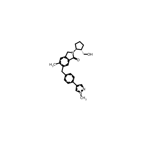 Cc1cc2c(cc1Cc1ccc(-c3cnn(C)c3)cc1)C(=O)N([C@H]1CCC[C@@H]1CO)C2